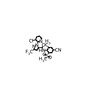 Cc1cc(C#N)cc(S(C)(=O)=O)c1NC(=O)c1cc(C(F)(F)F)nn1-c1ncccc1Cl